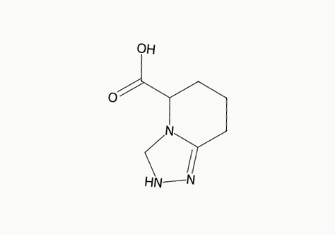 O=C(O)C1CCCC2=NNCN21